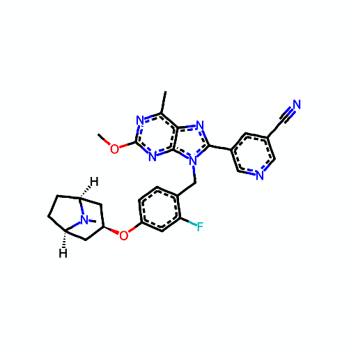 COc1nc(C)c2nc(-c3cncc(C#N)c3)n(Cc3ccc(O[C@H]4C[C@H]5CC[C@@H](C4)N5C)cc3F)c2n1